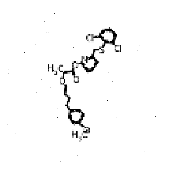 COc1ccc(CCCCOC(C)C(=O)Oc2cccc(CSc3c(Cl)cccc3Cl)n2)cc1